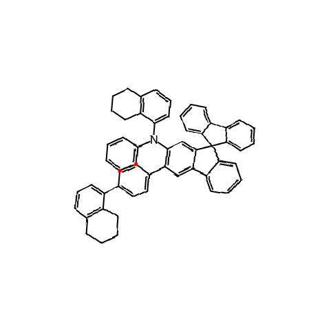 c1ccc(N(c2cc3c(cc2-c2ccc(-c4cccc5c4CCCC5)cc2)-c2ccccc2C32c3ccccc3-c3ccccc32)c2cccc3c2CCCC3)cc1